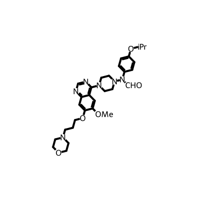 COc1cc2c(N3CCN(N(C=O)c4ccc(OC(C)C)cc4)CC3)ncnc2cc1OCCCN1CCOCC1